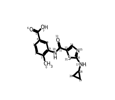 Cc1ccc(C(=O)O)cc1NC(=O)c1cnc(NC2CC2)s1